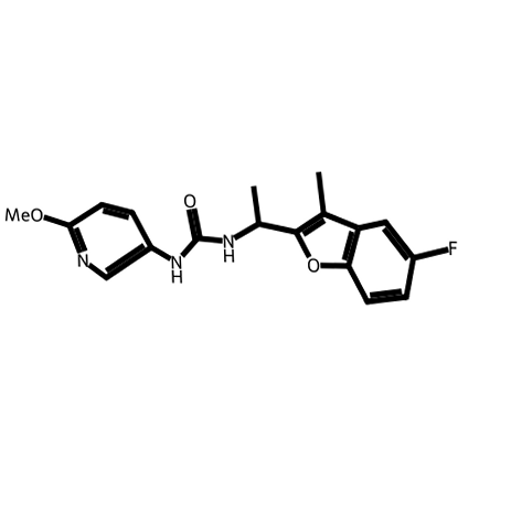 COc1ccc(NC(=O)NC(C)c2oc3ccc(F)cc3c2C)cn1